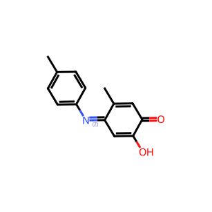 CC1=CC(=O)C(O)=C/C1=N/c1ccc(C)cc1